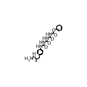 CC(Cc1ccc(NC(=O)NC(=O)NC(=O)NC(=O)OC2=CC=CCC2)cc1)NN